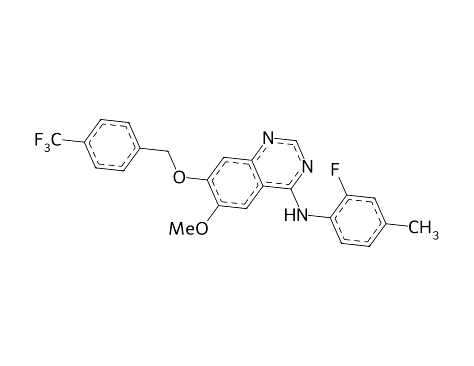 COc1cc2c(Nc3ccc(C)cc3F)ncnc2cc1OCc1ccc(C(F)(F)F)cc1